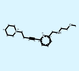 COCCNCc1cccc(C#CCCN2CCCCC2)n1